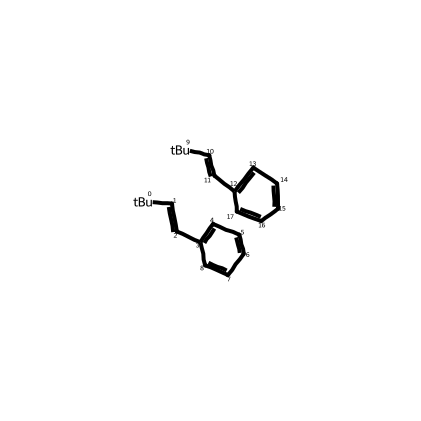 CC(C)(C)C=Cc1ccccc1.CC(C)(C)C=Cc1ccccc1